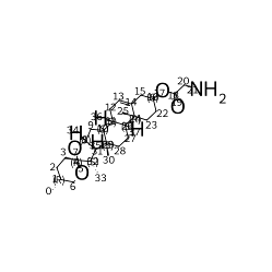 C[C@@H]1CC[C@@]2(OC1)O[C@H]1C[C@H]3[C@@H]4CC=C5C[C@@H](OC(=O)CN)CC[C@]5(C)[C@H]4CC[C@]3(C)C1[C@@H]2C